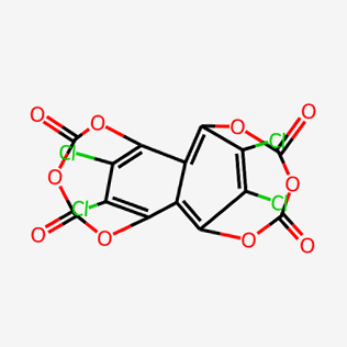 O=c1oc(=O)oc2c(Cl)c(Cl)c(o1)c1c3oc(=O)oc(=O)oc(c(Cl)c3Cl)c21